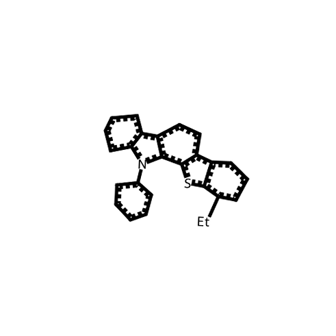 CCc1cccc2c1sc1c2ccc2c3ccccc3n(-c3ccccc3)c21